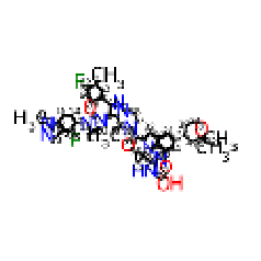 Cc1cc(-c2nn3c(c2-n2ccn(-c4ccc5c(cnn5C)c4F)c2=O)[C@H](C)N(C(=O)c2cc4cc([C@@H]5CCOC(C)(C)C5)ccc4n2C2(C4=NOC(O)N4)CC2)CC3)ccc1F